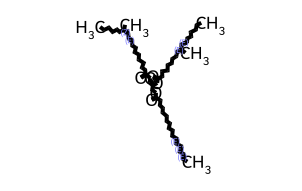 C/C=C/C=C/C=C/CCCCCCCCCCC(=O)OCC(COC(=O)CCCCCCCC/C=C/C=C(/C)CCCCCC)OC(=O)CCCCCCC/C=C(C)/C=C/CCCCCC